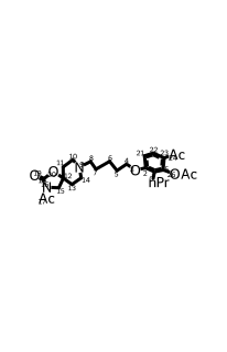 CCCc1c(OCCCCCN2CCC3(CC2)CN(C(C)=O)C(=O)O3)ccc(C(C)=O)c1OC(C)=O